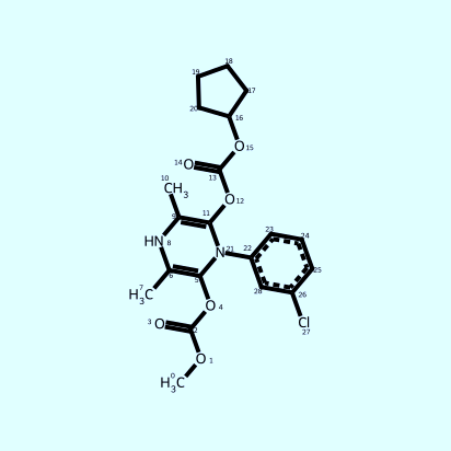 COC(=O)OC1=C(C)NC(C)=C(OC(=O)OC2CCCC2)N1c1cccc(Cl)c1